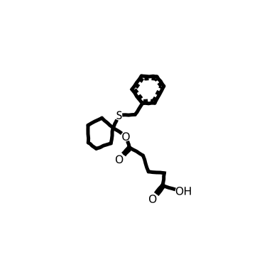 O=C(O)CCCC(=O)OC1(SCc2ccccc2)CCCCC1